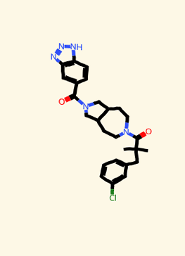 CC(C)(Cc1cccc(Cl)c1)C(=O)N1CCC2CN(C(=O)c3ccc4[nH]nnc4c3)CC2CC1